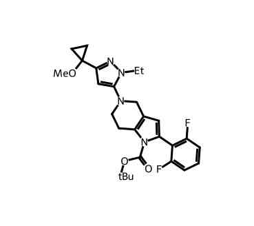 CCn1nc(C2(OC)CC2)cc1N1CCc2c(cc(-c3c(F)cccc3F)n2C(=O)OC(C)(C)C)C1